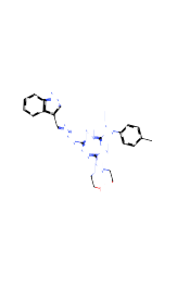 Cc1ccc(Nc2nc(NN=Cc3c[nH]c4ccccc34)nc(N3CCOCC3)n2)cc1